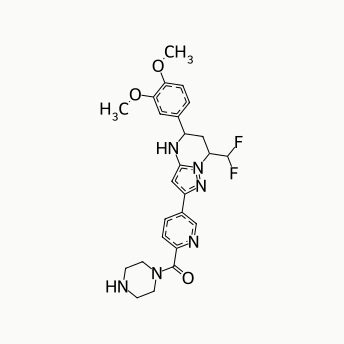 COc1ccc(C2CC(C(F)F)n3nc(-c4ccc(C(=O)N5CCNCC5)nc4)cc3N2)cc1OC